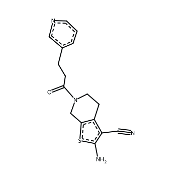 N#Cc1c(N)sc2c1CCN(C(=O)CCc1cccnc1)C2